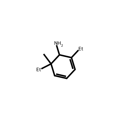 CCC1=CC=CC(C)(CC)C1N